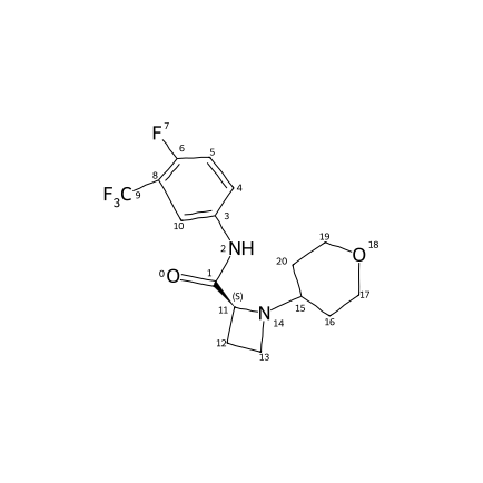 O=C(Nc1ccc(F)c(C(F)(F)F)c1)[C@@H]1CCN1C1CCOCC1